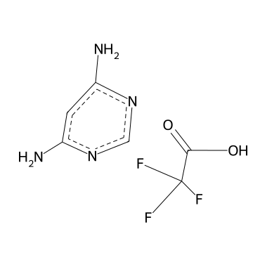 Nc1cc(N)ncn1.O=C(O)C(F)(F)F